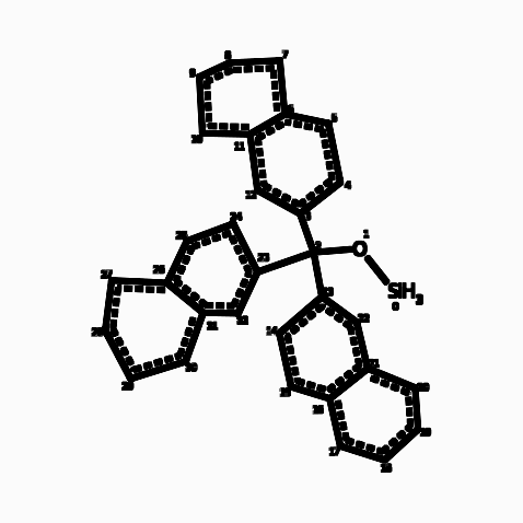 [SiH3]OC(c1ccc2ccccc2c1)(c1ccc2ccccc2c1)c1ccc2ccccc2c1